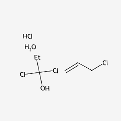 C=CCCl.CCC(O)(Cl)Cl.Cl.O